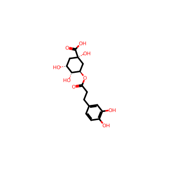 O=C(CCc1ccc(O)c(O)c1)O[C@@H]1C[C@](O)(C(=O)O)C[C@@H](O)[C@H]1O